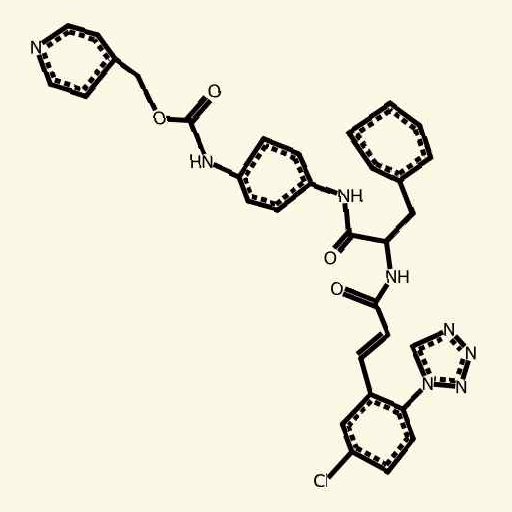 O=C(C=Cc1cc(Cl)ccc1-n1cnnn1)NC(Cc1ccccc1)C(=O)Nc1ccc(NC(=O)OCc2ccncc2)cc1